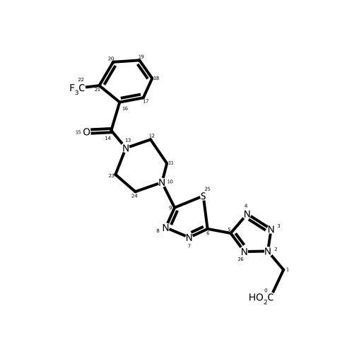 O=C(O)Cn1nnc(-c2nnc(N3CCN(C(=O)c4ccccc4C(F)(F)F)CC3)s2)n1